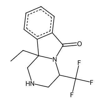 CCC12CNCC(C(F)(F)F)N1C(=O)c1ccccc12